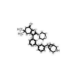 CC1(C)CC(=O)c2sc(N3CCOCC3)c(-c3ccnc(-c4cccc(CN5C6CCC5CNC6)c4)c3)c2C1